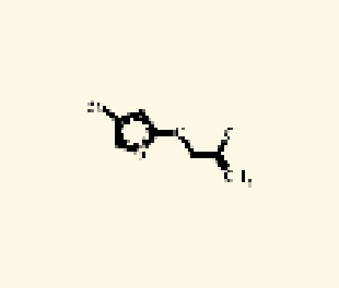 C=C(Cl)COc1cc(Br)cs1